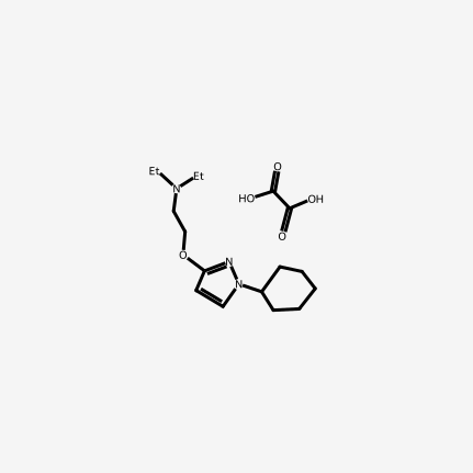 CCN(CC)CCOc1ccn(C2CCCCC2)n1.O=C(O)C(=O)O